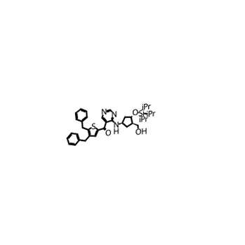 CC(C)[Si](O[C@H]1C[C@H](Nc2ncncc2C(=O)c2cc(Cc3ccccc3)c(Cc3ccccc3)s2)C[C@@H]1CO)(C(C)C)C(C)C